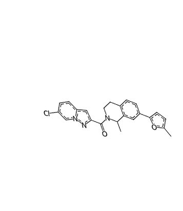 Cc1ccc(-c2ccc3c(c2)C(C)N(C(=O)c2cc4ccc(Cl)cn4n2)CC3)o1